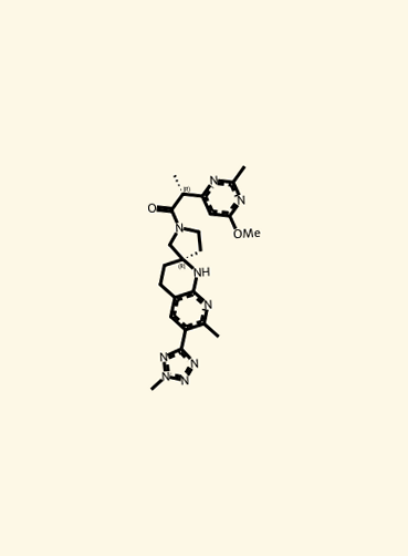 COc1cc([C@@H](C)C(=O)N2CC[C@]3(CCc4cc(-c5nnn(C)n5)c(C)nc4N3)C2)nc(C)n1